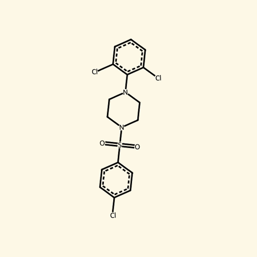 O=S(=O)(c1ccc(Cl)cc1)N1CCN(c2c(Cl)cccc2Cl)CC1